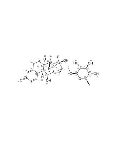 C[C@H]1O[C@@H](OCC(=O)[C@@]2(O)CC[C@H]3[C@@H]4CCC5=CC(=O)C=C[C@]5(C)[C@H]4C(O)C[C@@]32C)[C@H](O)[C@@H](O)[C@@H]1O